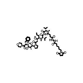 CC[C@H](C)[C@@H]([C@@H](CC(=O)N1CCC[C@H]1[C@H](OC)[C@@H](C)C(=O)N[C@@H](Cc1ccccc1)C(=O)N1CCOCC1)OC)N(C)[C@H](C(=O)NC(=O)[C@H](C(C)C)N(C)CCCC(=O)NNC(=O)CCCCCN1C(=O)C=CC1=O)C(C)C